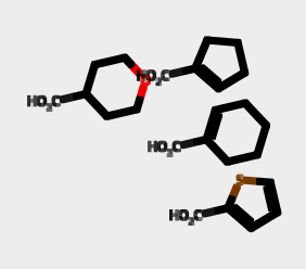 O=C(O)C1=CCCC1.O=C(O)C1=CCCCC1.O=C(O)C1CCOCC1.O=C(O)c1cccs1